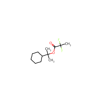 CC(F)(F)C(=O)OC(C)(C)C1CCCCC1